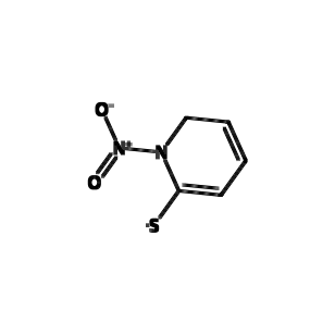 O=[N+]([O-])N1CC=CC=C1[S]